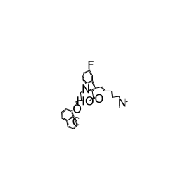 CN(C)CCC/C=C/c1c(C(=O)O)n(CCCOc2cccc3ccccc23)c2ccc(F)cc12